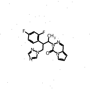 CC(C(Cn1cncn1)c1ccc(F)cc1F)n1ncc2cccn2c1=O